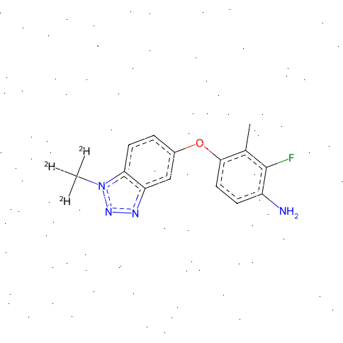 [2H]C([2H])([2H])n1nnc2cc(Oc3ccc(N)c(F)c3C)ccc21